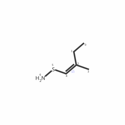 CC/C(C)=C\SN